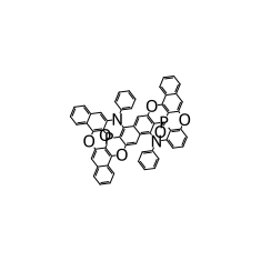 O=P12c3c4cccc3N(c3ccccc3)c3c1c(cc1c5c6c(cc31)Oc1c3c(cc7ccccc17)Oc1c(c(cc7ccccc17)N5c1ccccc1)P36=O)Oc1c2c(cc2ccccc12)O4